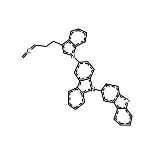 C=C=CCCc1cn(-c2ccc3c(c2)c2ccccc2n3-c2ccc3sc4ccccc4c3c2)c2ccccc12